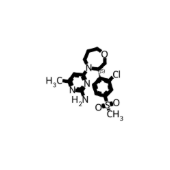 Cc1cc(N2CCCOC[C@@H]2c2ccc(S(C)(=O)=O)cc2Cl)nc(N)n1